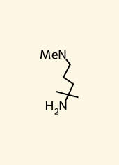 CNCCCC(C)(C)N